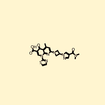 Cc1cc(N2CC(n3cc(C(=O)N(C)C)cn3)C2)nc2c1c(=O)c(C(=O)O)cn2-c1nccs1